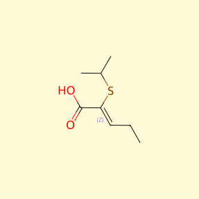 CC/C=C(\SC(C)C)C(=O)O